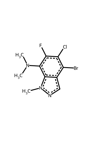 CN(C)c1c(F)c(Cl)c(Br)c2cnn(C)c12